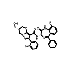 O=C(N[C@H]1N=C(c2ccccc2)c2cccc(F)c2NC1=O)c1c(-c2ccccc2F)nn2c1OC[C@@H](CO)C2